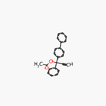 C#CC(OC(C)=O)(c1ccccc1)c1ccc(-c2ccccc2)cc1